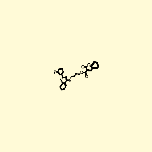 O=C(OCCCCSc1cc(-c2cccc(F)c2)nc2ccccc12)c1cc2ccccc2oc1=O